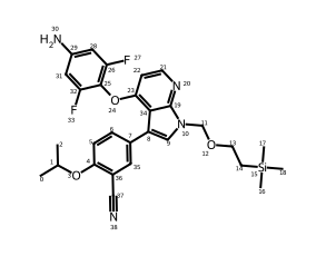 CC(C)Oc1ccc(-c2cn(COCC[Si](C)(C)C)c3nccc(Oc4c(F)cc(N)cc4F)c23)cc1C#N